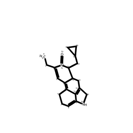 CCC1=CC2=C3CCC=C4NCC(=C43)CC2C(CC2CC2)[N+]1=O